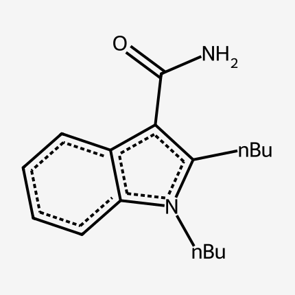 CCCCc1c(C(N)=O)c2ccccc2n1CCCC